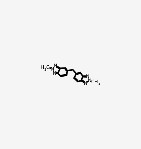 Cn1nc2ccc(Cc3ccc4nn(C)nc4c3)cc2n1